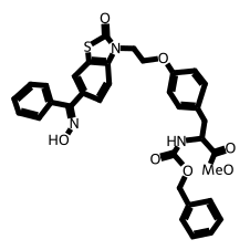 COC(=O)C(Cc1ccc(OCCn2c(=O)sc3cc(C(=NO)c4ccccc4)ccc32)cc1)NC(=O)OCc1ccccc1